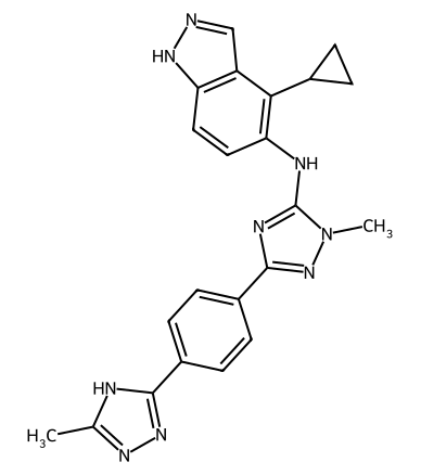 Cc1nnc(-c2ccc(-c3nc(Nc4ccc5[nH]ncc5c4C4CC4)n(C)n3)cc2)[nH]1